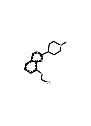 CN1CCC(c2ncc3cccc(OCC(F)(F)F)c3n2)CC1